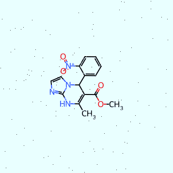 COC(=O)C1=C(C)Nc2nccn2C1c1ccccc1[N+](=O)[O-]